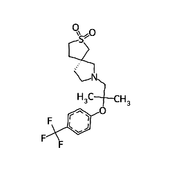 CC(C)(CN1CC[C@@]2(CCS(=O)(=O)C2)C1)Oc1ccc(C(F)(F)F)cc1